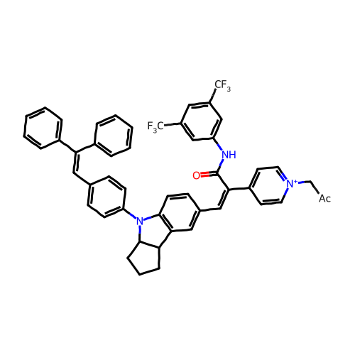 CC(=O)C[n+]1ccc(/C(=C/c2ccc3c(c2)C2CCCC2N3c2ccc(C=C(c3ccccc3)c3ccccc3)cc2)C(=O)Nc2cc(C(F)(F)F)cc(C(F)(F)F)c2)cc1